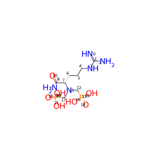 N=C(N)NCCC[C@@H](C(N)=O)N(CP(=O)(O)O)CP(=O)(O)O